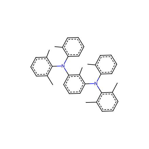 Cc1ccccc1N(c1cccc(N(c2ccccc2C)c2c(C)cccc2C)c1C)c1c(C)cccc1C